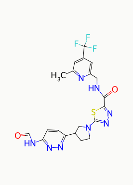 Cc1cc(C(F)(F)F)cc(CNC(=O)c2nnc(N3CCC(c4ccc(NC=O)nn4)C3)s2)n1